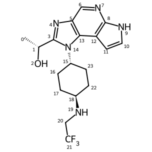 C[C@@H](O)c1nc2cnc3[nH]ccc3c2n1[C@H]1CC[C@H](NCC(F)(F)F)CC1